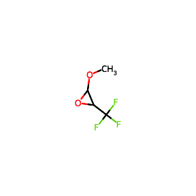 COC1OC1C(F)(F)F